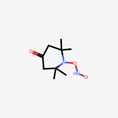 CC1(C)CC(=O)CC(C)(C)N1ON[O]